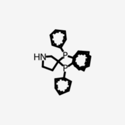 c1ccc(P(c2ccccc2)C2(P(c3ccccc3)c3ccccc3)CCNC2)cc1